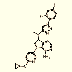 CC(c1cn(-c2ccc(F)cc2F)nn1)C1C=C(c2ccc(OC3CC3)nc2)c2c(N)ncnc21